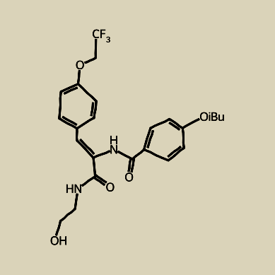 CC(C)COc1ccc(C(=O)N/C(=C\c2ccc(OCC(F)(F)F)cc2)C(=O)NCCO)cc1